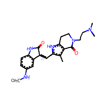 Cc1c(/C=C2\C(=O)Nc3ccc(NC=O)cc32)[nH]c2c1C(=O)N(CCN(C)C)CC2